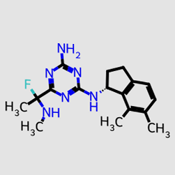 CNC(C)(F)c1nc(N)nc(N[C@@H]2CCc3ccc(C)c(C)c32)n1